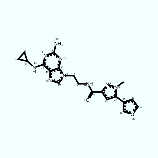 Cn1nc(C(=O)NCCn2cnc3c(NC4CC4)nc(N)nc32)cc1-c1ccoc1